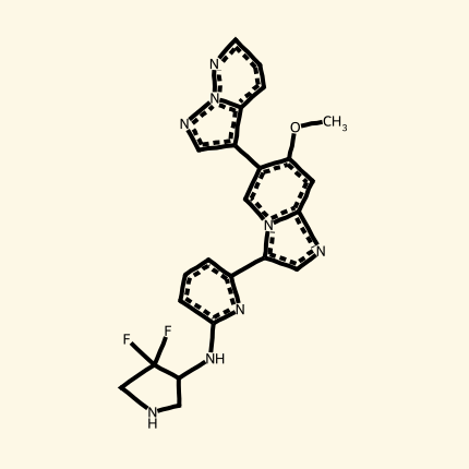 COc1cc2ncc(-c3cccc(NC4CNCC4(F)F)n3)n2cc1-c1cnn2ncccc12